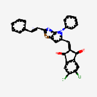 O=C1C(=Cc2cc3sc(/C=C/c4ccccc4)nc3n2-c2ccccc2)C(=O)c2cc(Cl)c(Cl)cc21